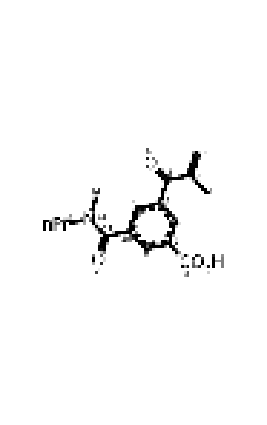 C=C(C)C(=O)c1cc(C(=O)O)cc(C(=O)N(C)CCC)c1